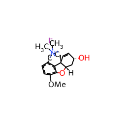 COc1ccc2c3c1O[C@H]1C[C@@H](O)C=C[C@@]31CC[N+](C)(C)C2.[I-]